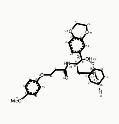 COc1ccc(OCCC(=O)N[C@H](CN2C[C@H]3CC[C@@H]2CC3)[C@H](O)c2ccc3c(c2)OCCO3)cc1